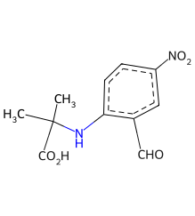 CC(C)(Nc1ccc([N+](=O)[O-])cc1C=O)C(=O)O